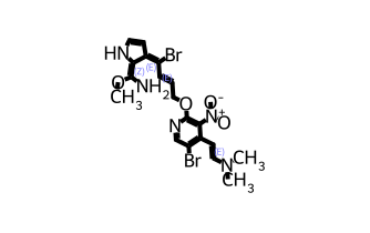 CO\C(N)=c1/[nH]cc/c1=C(Br)/C=C/COc1ncc(Br)c(/C=C/N(C)C)c1[N+](=O)[O-]